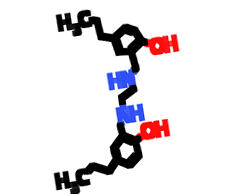 CCCc1ccc(O)c(CNCCNCc2cc(CCC)ccc2O)c1